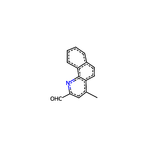 Cc1cc(C=O)nc2c1ccc1ccccc12